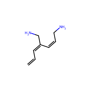 C=C/C=C(\C=C/CN)CN